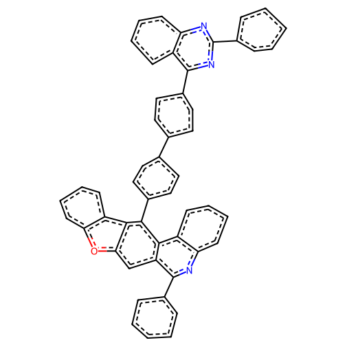 c1ccc(-c2nc(-c3ccc(-c4ccc(-c5c6c(cc7c(-c8ccccc8)nc8ccccc8c57)oc5ccccc56)cc4)cc3)c3ccccc3n2)cc1